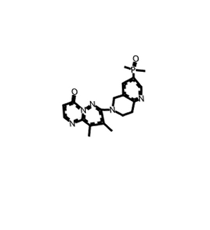 Cc1c(N2CCc3ncc(P(C)(C)=O)cc3C2)nn2c(=O)ccnc2c1C